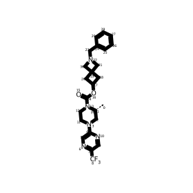 C[C@@H]1CN(c2cnc(C(F)(F)F)cn2)CCN1C(=O)OC1CC2(C1)CN(Cc1ccccc1)C2